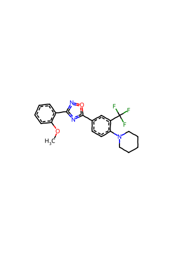 COc1ccccc1-c1noc(-c2ccc(N3CCCCC3)c(C(F)(F)F)c2)n1